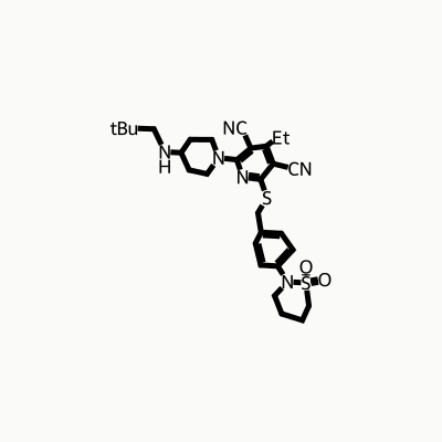 CCc1c(C#N)c(SCc2ccc(N3CCCCS3(=O)=O)cc2)nc(N2CCC(NCC(C)(C)C)CC2)c1C#N